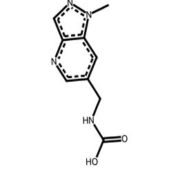 Cn1ncc2ncc(CNC(=O)O)cc21